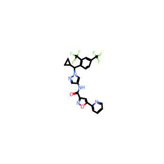 O=C(Nc1cnn(C(c2ccc(C(F)(F)F)cc2C(F)(F)F)C2CC2)c1)c1cc(-c2ccccn2)on1